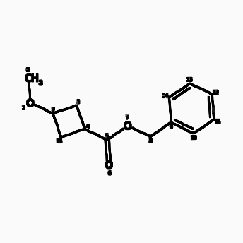 COC1CC(C(=O)OCc2ccccc2)C1